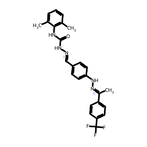 C/C(=N\Nc1ccc(/C=N/NC(=O)Nc2c(C)cccc2C)cc1)c1ccc(C(F)(F)F)cc1